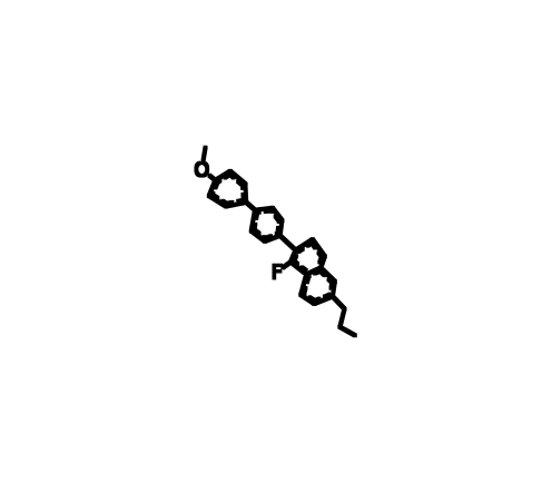 CCCc1ccc2c(F)c(-c3ccc(-c4ccc(OC)cc4)cc3)ccc2c1